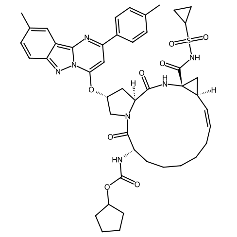 Cc1ccc(-c2cc(O[C@@H]3C[C@H]4C(=O)N[C@]5(C(=O)NS(=O)(=O)C6CC6)C[C@H]5/C=C\CCCCC[C@H](NC(=O)OC5CCCC5)C(=O)N4C3)n3nc4ccc(C)cc4c3n2)cc1